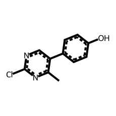 Cc1nc(Cl)ncc1-c1ccc(O)cc1